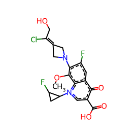 COc1c(N2CC(=C(Cl)CO)C2)c(F)cc2c(=O)c(C(=O)O)cn(C3CC3F)c12